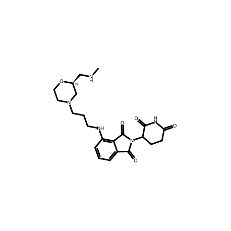 CNC[C@H]1CN(CCCNc2cccc3c2C(=O)N(C2CCC(=O)NC2=O)C3=O)CCO1